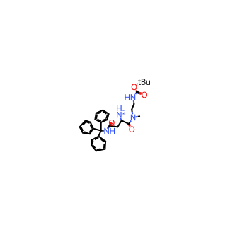 CN(CCNC(=O)OC(C)(C)C)C(=O)[C@H](N)CC(=O)NC(c1ccccc1)(c1ccccc1)c1ccccc1